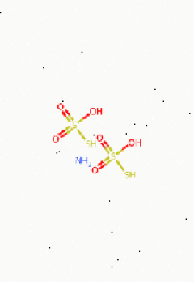 N.O=S(=O)(O)S.O=S(=O)(O)S